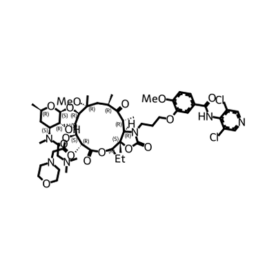 CC[C@H]1OC(=O)[C@H](C)[C@@H](OC(=O)CN2CCOCC2)[C@H](C)[C@@H](O[C@@H]2O[C@H](C)C[C@H](N(C)C(=O)CN(C)C)[C@H]2O)[C@](C)(OC)C[C@@H](C)C(=O)[C@H](C)[C@H]2N(CCCOc3cc(C(=O)Nc4c(Cl)cncc4Cl)ccc3OC)C(=O)O[C@]12C